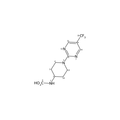 O=C(O)NC1CCN(c2ncc(C(F)(F)F)cn2)CC1